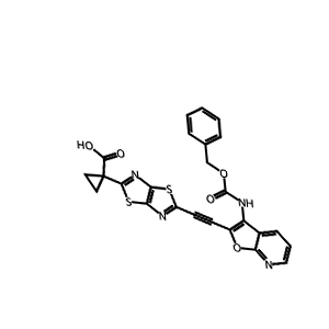 O=C(Nc1c(C#Cc2nc3sc(C4(C(=O)O)CC4)nc3s2)oc2ncccc12)OCc1ccccc1